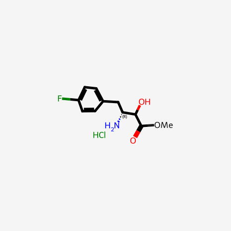 COC(=O)C(O)[C@H](N)Cc1ccc(F)cc1.Cl